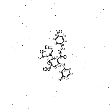 CCS[C@@H]1[C@@H]([C@@H](C)O)C(=O)N1C(C(=O)OCc1ccc([N+](=O)[O-])cc1)=C(Oc1cccc(F)c1)SC(=O)C(C)(C)C